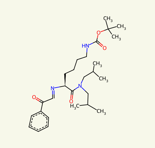 CC(C)CN(CC(C)C)C(=O)[C@H](CCCCNC(=O)OC(C)(C)C)N=CC(=O)c1ccccc1